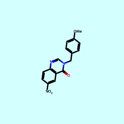 COc1ccc(Cn2cnc3ccc([N+](=O)[O-])cc3c2=O)cc1